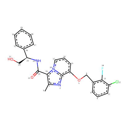 Cc1nc2c(OCc3cccc(Cl)c3F)cccn2c1C(=O)N[C@@H](CO)c1ccccc1